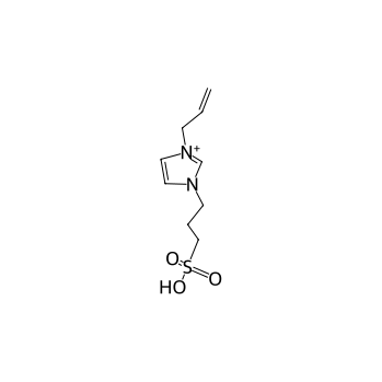 C=CC[n+]1ccn(CCCS(=O)(=O)O)c1